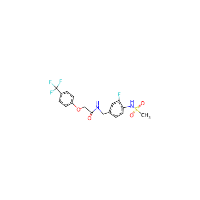 CS(=O)(=O)Nc1ccc(CNC(=O)COc2ccc(C(F)(F)F)cc2)cc1F